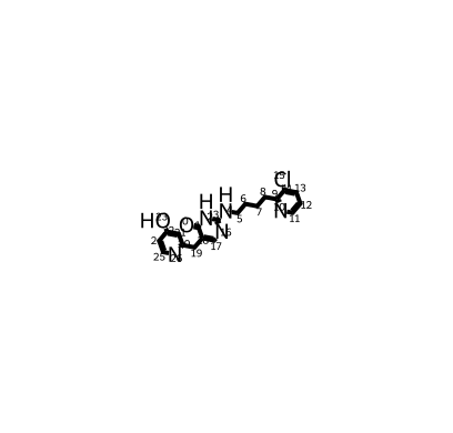 O=c1[nH]c(NCCCCc2ncccc2Cl)ncc1Cc1cc(O)ccn1